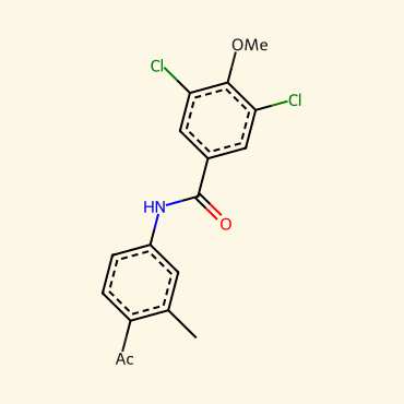 COc1c(Cl)cc(C(=O)Nc2ccc(C(C)=O)c(C)c2)cc1Cl